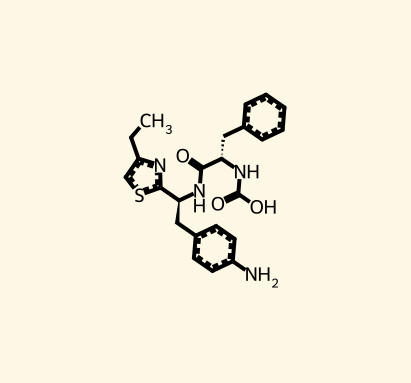 CCc1csc([C@H](Cc2ccc(N)cc2)NC(=O)[C@H](Cc2ccccc2)NC(=O)O)n1